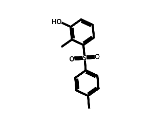 Cc1ccc(S(=O)(=O)c2cccc(O)c2C)cc1